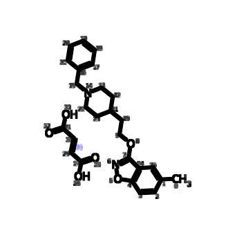 Cc1ccc2onc(OCCC3CCN(Cc4ccccc4)CC3)c2c1.O=C(O)/C=C/C(=O)O